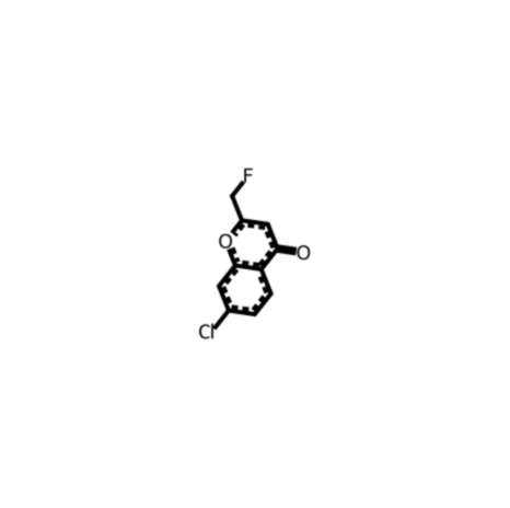 O=c1cc(CF)oc2cc(Cl)ccc12